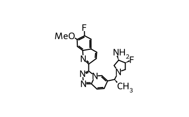 COc1cc2nc(-c3nnc4ccc([C@H](C)N5C[C@@H](N)[C@@H](F)C5)cn34)ccc2cc1F